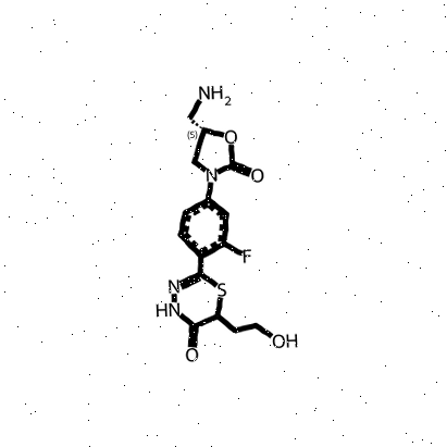 NC[C@H]1CN(c2ccc(C3=NNC(=O)C(CCO)S3)c(F)c2)C(=O)O1